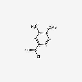 COc1ccc(C(=O)Cl)cc1N